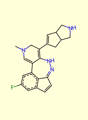 CN1C=C2C(=C(C3=CC4CNCC4C3)C1)NN=C1C=Cc3cc(F)cc2c31